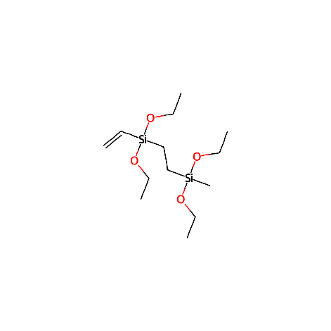 C=C[Si](CC[Si](C)(OCC)OCC)(OCC)OCC